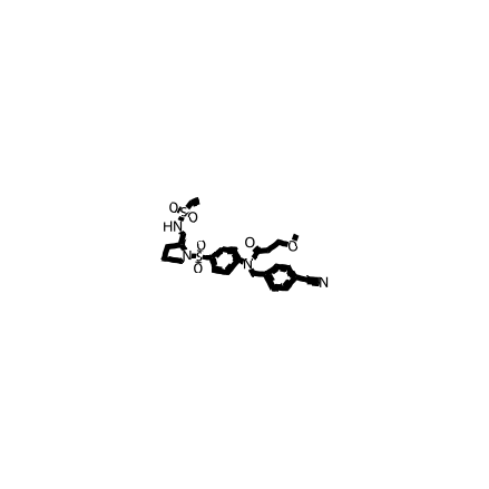 C=CS(=O)(=O)NCC1CCCN1S(=O)(=O)c1ccc(N(Cc2ccc(C#N)cc2)C(=O)CCOC)cc1